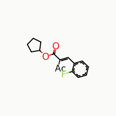 CC(=O)C(=Cc1ccccc1F)C(=O)OC1CCCC1